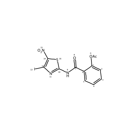 CC(=O)Oc1ccccc1C(=O)Nc1nc(I)c([N+](=O)[O-])s1